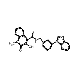 Cn1c(=O)c(O)c(C(=O)NCc2cccc(-n3cnc4ccccc43)c2)c2ccccc21